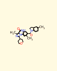 Cc1ccc2c(c1)CCN2C(=O)c1cc2[nH]c(=O)c3c(C)nc(C4CCOCC4)n3c2cc1C